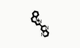 c1ccc2c(c1)ccc1cc(-c3cnc4cccnc4c3)nn12